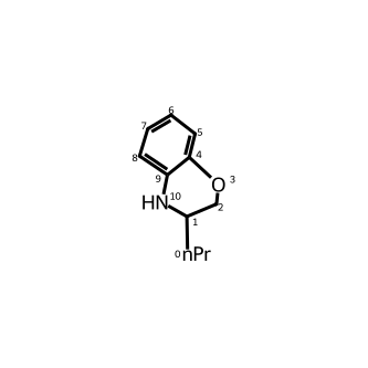 CCCC1COc2ccccc2N1